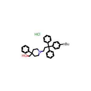 CCCCc1ccc(C(CCN2CCC(CO)(c3ccccc3)CC2)(c2ccccc2)c2ccccc2)cc1.Cl